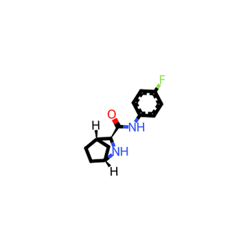 O=C(Nc1ccc(F)cc1)[C@H]1N[C@@H]2CC[C@H]1C2